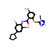 Cn1cnnc1Sc1ccc([N+](=O)[O-])cc1C(=O)Nc1c(F)cc(C2CCCC2)cc1C#N